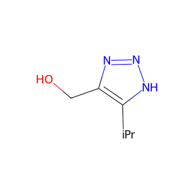 CC(C)c1[nH]nnc1CO